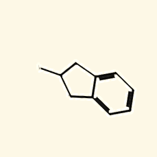 IC1[CH]c2ccccc2C1